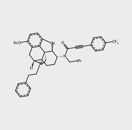 CC(=O)Oc1ccc2c3c1C[C@@H]1[C@@H]4CC[C@@H](N(CC(C)C)C(=O)C#Cc5ccc(C(F)(F)F)cc5)[C@H](O2)[C@]34CCN1CCc1ccccc1